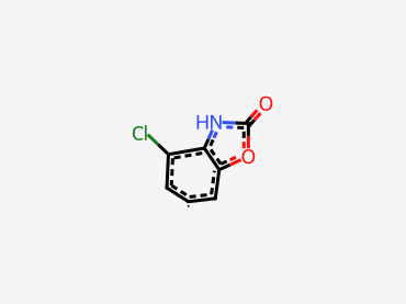 O=c1[nH]c2c(Cl)c[c]cc2o1